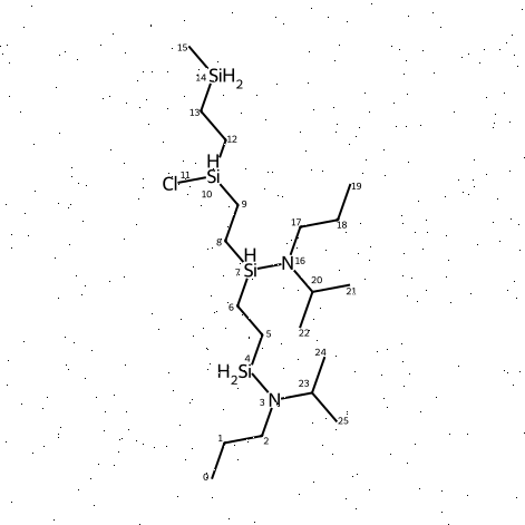 CCCN([SiH2]CC[SiH](CC[SiH](Cl)CC[SiH2]C)N(CCC)C(C)C)C(C)C